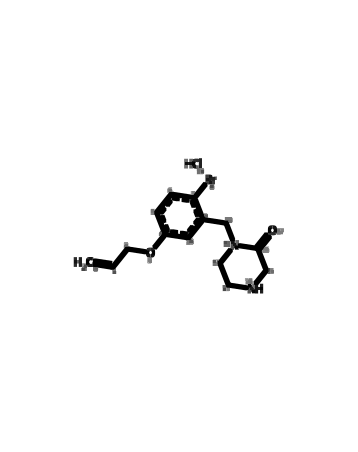 C=CCOc1ccc(Br)c(CN2CCNCC2=O)c1.Cl